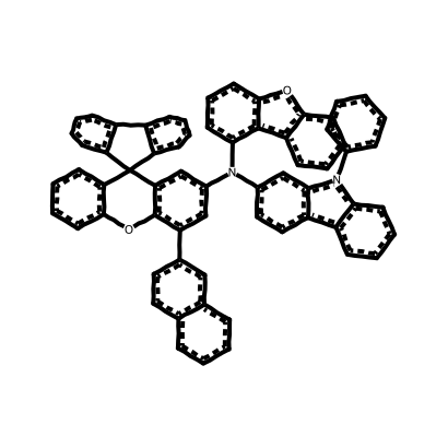 c1ccc(-n2c3ccccc3c3ccc(N(c4cc(-c5ccc6ccccc6c5)c5c(c4)C4(c6ccccc6O5)c5ccccc5-c5ccccc54)c4cccc5oc6ccccc6c45)cc32)cc1